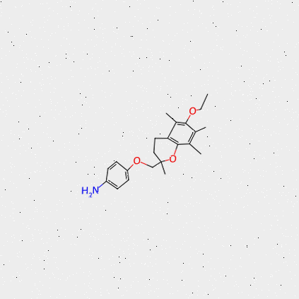 CCOc1c(C)c(C)c2c(c1C)CCC(C)(COc1ccc(N)cc1)O2